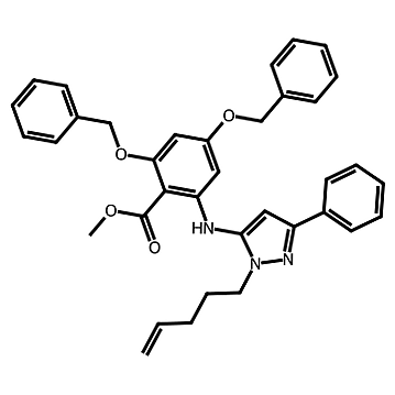 C=CCCCn1nc(-c2ccccc2)cc1Nc1cc(OCc2ccccc2)cc(OCc2ccccc2)c1C(=O)OC